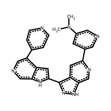 CN(C)c1cncc(-c2cc3c(-c4cc5c(-c6ccncc6)cncc5[nH]4)n[nH]c3cn2)c1